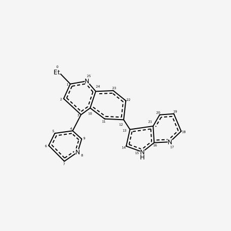 CCc1cc(-c2cccnc2)c2cc(-c3c[nH]c4ncccc34)ccc2n1